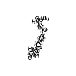 CC(C)(C)OC(=O)NC1CCN(C(=O)CCN2CCN(c3ccc(C(=O)NC4CCC(=O)NC4=O)c(F)c3)CC2)CC1